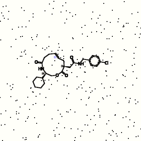 O=C(C[C@@H]1C/C=C/CCC(=O)N[C@H](C2CCCCC2)COC1=O)NCc1ccc(Cl)cc1